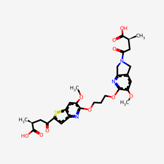 COc1cc2c(nc1OCCCOc1nc3cc(C(=O)C[C@H](C)C(=O)O)sc3cc1OC)CN(C(=O)C[C@H](C)C(=O)O)C2